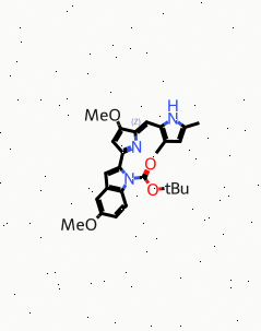 COC1=CC(c2cc3cc(OC)ccc3n2C(=O)OC(C)(C)C)=N/C1=C\c1[nH]c(C)cc1C